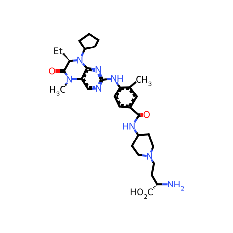 CC[C@@H]1C(=O)N(C)c2cnc(Nc3ccc(C(=O)NC4CCN(CC[C@H](N)C(=O)O)CC4)cc3C)nc2N1C1CCCC1